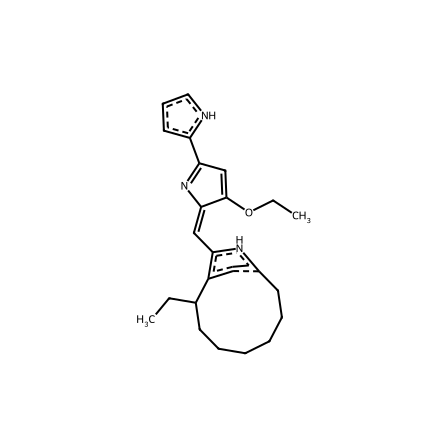 CCOC1=CC(c2ccc[nH]2)=NC1=Cc1[nH]c2cc1C(CC)CCCCCC2